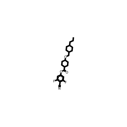 CCCC1CCC(COC2CCC(C(=O)Oc3cc(F)c(C#N)c(F)c3)CC2)CC1